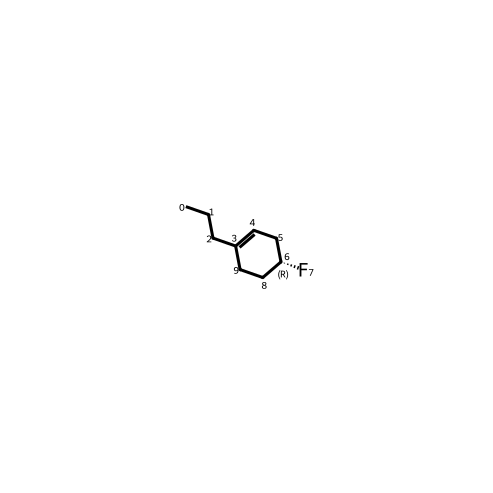 CCCC1=CC[C@H](F)CC1